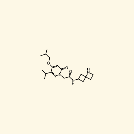 CC(C)COc1cc(=O)n(CC(=O)NC2CC3(CCN3)C2)nc1C(C)C